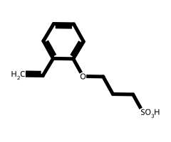 C=Cc1ccccc1OCCCS(=O)(=O)O